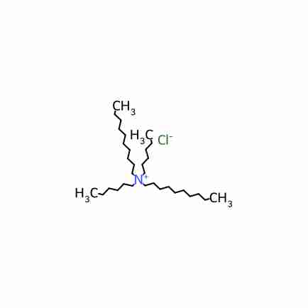 CCCCCCCCCC[N+](CCCCCC)(CCCCCC)CCCCCCCCCC.[Cl-]